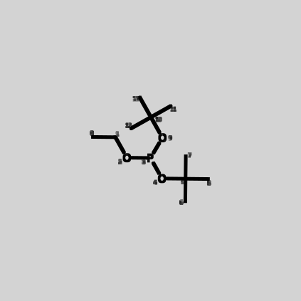 CCOP(OC(C)(C)C)OC(C)(C)C